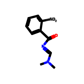 CN(C)C=NC(=O)c1ccccc1[N+](=O)[O-]